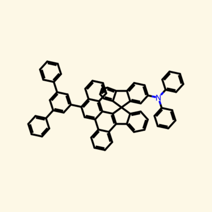 c1ccc(-c2cc(-c3ccccc3)cc(-c3cc4c5ccccc5c5c(c4c4ccccc34)C3(c4ccccc4-c4ccc(N(c6ccccc6)c6ccccc6)cc43)c3ccccc3-5)c2)cc1